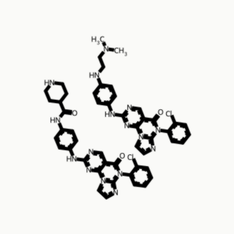 CN(C)CCNc1ccc(Nc2ncc3c(=O)n(-c4ccccc4Cl)c4nccn4c3n2)cc1.O=C(Nc1ccc(Nc2ncc3c(=O)n(-c4ccccc4Cl)c4nccn4c3n2)cc1)C1CCNCC1